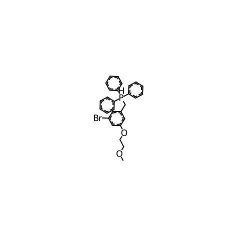 COCCOc1cc(Br)cc(C[PH](c2ccccc2)(c2ccccc2)c2ccccc2)c1